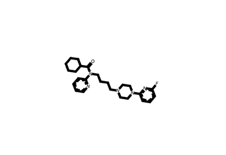 O=C(C1CCCCC1)N(CCCCN1CCN(c2cccc(F)n2)CC1)c1ccccn1